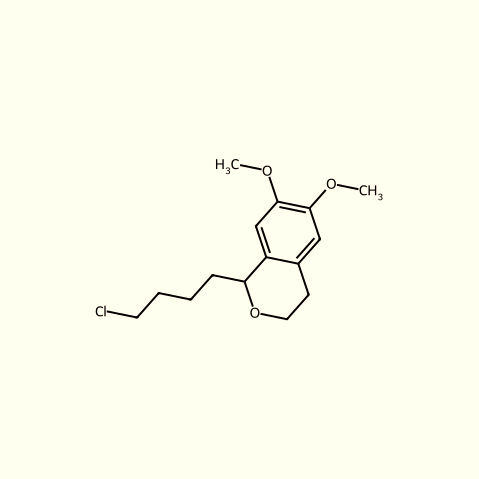 COc1cc2c(cc1OC)C(CCCCCl)OCC2